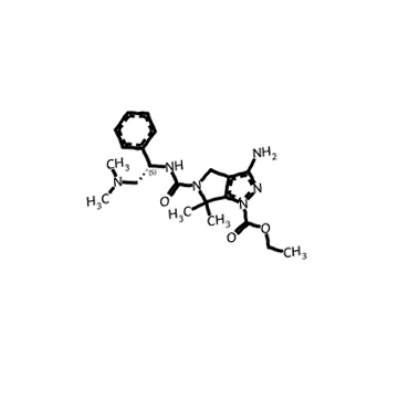 CCOC(=O)n1nc(N)c2c1C(C)(C)N(C(=O)N[C@H](CN(C)C)c1ccccc1)C2